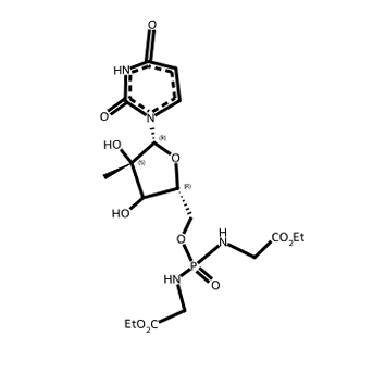 CCOC(=O)CNP(=O)(NCC(=O)OCC)OC[C@H]1O[C@@H](n2ccc(=O)[nH]c2=O)[C@@](C)(O)C1O